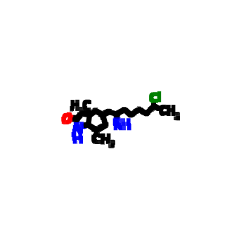 CC(Cl)CCCCC(=N)CC1CC(C)C2NC(=O)CC2(C)C1